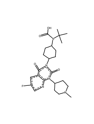 CN1CCC(n2c(=O)n(C3CCC(N(C(=O)O)C(C)(C)C)CC3)c(=O)c3cc(F)cnc32)CC1